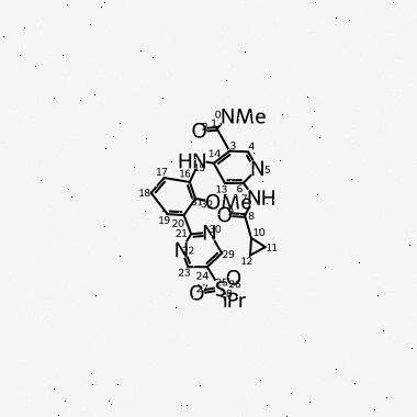 CNC(=O)c1cnc(NC(=O)C2CC2)cc1Nc1cccc(-c2ncc(S(=O)(=O)C(C)C)cn2)c1OC